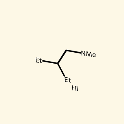 CCC(CC)CNC.I